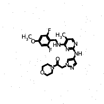 COc1cc(F)c(CNc2nc(Nc3cnn(CC(=O)N4CCOCC4)c3)ncc2C)c(F)c1